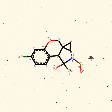 CC(C)(C)[S@+]([O-])NC(O)(C#N)C1c2ccc(F)cc2OCC12CC2